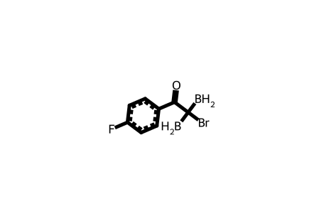 BC(B)(Br)C(=O)c1ccc(F)cc1